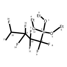 CCO[Si](OCC)(OCC)C(F)(F)C(F)(F)C(F)(F)C(C)F